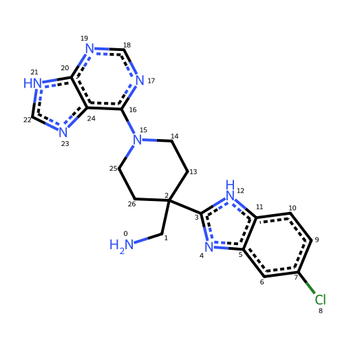 NCC1(c2nc3cc(Cl)ccc3[nH]2)CCN(c2ncnc3[nH]cnc23)CC1